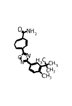 Cc1ccc(-c2noc(C3=CCC=C(C(N)=O)C=C3)n2)cc1C(C)(C)C